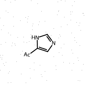 [CH2]C(=O)c1cnc[nH]1